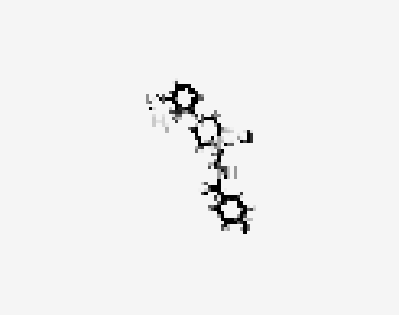 Cl.Cl.Nc1cccc(N2CCN(CCNC(=O)c3ccc(F)cc3)CC2)c1N